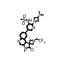 CN1C(=O)C2(CN(CC(F)(F)F)C2)c2c1cnc1ccc(-c3cnc(N4CC(N(C)C)C4)c(NS(C)(=O)=O)c3)cc21